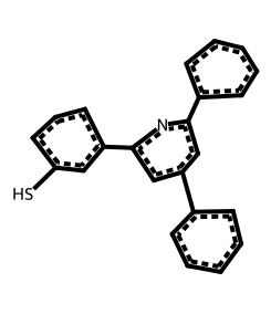 Sc1cccc(-c2cc(-c3ccccc3)cc(-c3ccccc3)n2)c1